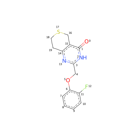 O=c1[nH]c(COc2ccccc2F)nc2c1CSCC2